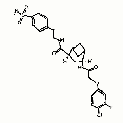 NS(=O)(=O)c1ccc(CCNC(=O)[C@@H]2C[C@H](NC(=O)COc3ccc(Cl)c(F)c3)C3CC2C3)cc1